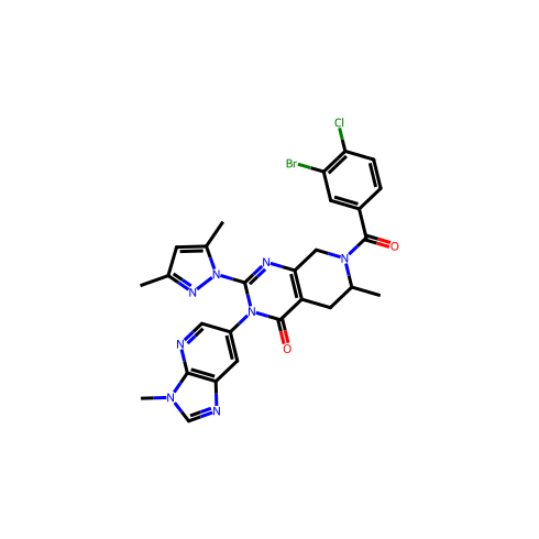 Cc1cc(C)n(-c2nc3c(c(=O)n2-c2cnc4c(c2)ncn4C)CC(C)N(C(=O)c2ccc(Cl)c(Br)c2)C3)n1